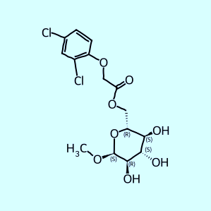 CO[C@H]1O[C@H](COC(=O)COc2ccc(Cl)cc2Cl)[C@@H](O)[C@H](O)[C@H]1O